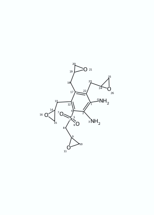 Nc1c(N)c(S(=O)(=O)CC2CO2)c(CC2CO2)c(CC2CO2)c1CC1CO1